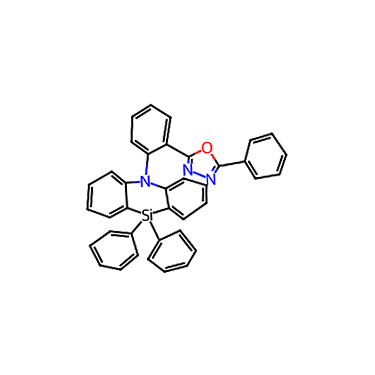 c1ccc(-c2nnc(-c3ccccc3N3c4ccccc4[Si](c4ccccc4)(c4ccccc4)c4ccccc43)o2)cc1